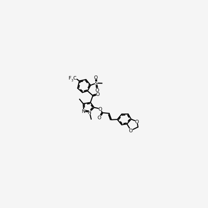 Cc1nn(C)c(OC(=O)/C=C/c2ccc3c(c2)OCO3)c1C(=O)c1ccc(C(F)(F)F)cc1S(C)(=O)=O